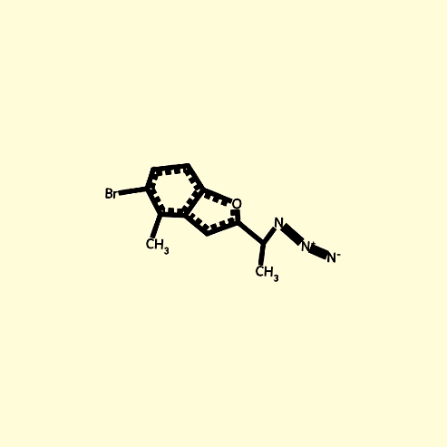 Cc1c(Br)ccc2oc(C(C)N=[N+]=[N-])cc12